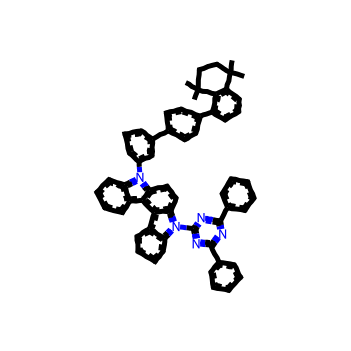 CC1(C)CCC(C)(C)c2c(-c3ccc(-c4cccc(-n5c6ccccc6c6c7c8ccccc8n(-c8nc(-c9ccccc9)nc(-c9ccccc9)n8)c7ccc65)c4)cc3)cccc21